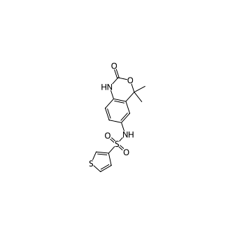 CC1(C)OC(=O)Nc2ccc(NS(=O)(=O)c3ccsc3)cc21